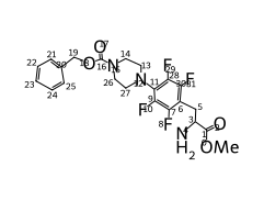 COC(=O)C(N)Cc1c(F)c(F)c(N2CCN(C(=O)OCc3ccccc3)CC2)c(F)c1F